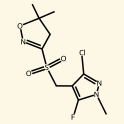 Cn1nc(Cl)c(CS(=O)(=O)C2=NOC(C)(C)C2)c1F